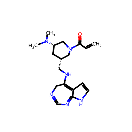 C=CC(=O)N1C[C@H](CNC2=c3cc[nH]c3=NC=NC2)C[C@H](N(C)C)C1